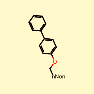 [CH2]CCCCCCCCCOc1ccc(-c2ccccc2)cc1